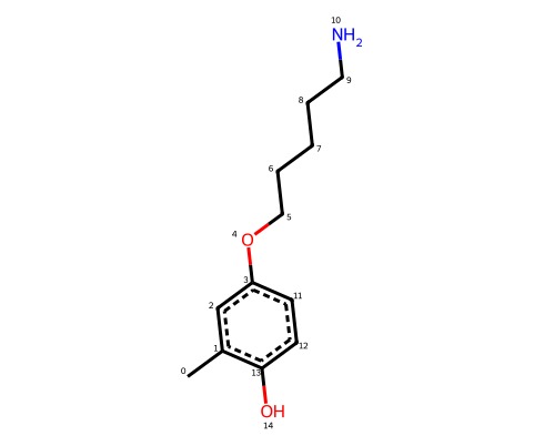 Cc1cc(OCCCCCN)ccc1O